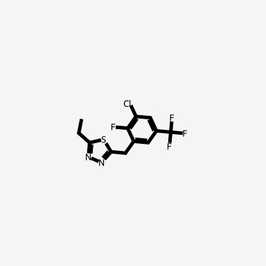 CCc1nnc(Cc2cc(C(F)(F)F)cc(Cl)c2F)s1